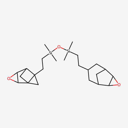 C[Si](C)(CCC1CC2CC(C1)C1OC21)O[Si](C)(C)CCC12CC13CC2C1OC13